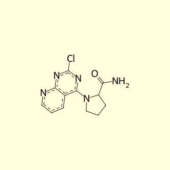 NC(=O)C1CCCN1c1nc(Cl)nc2ncccc12